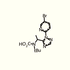 CC(c1ncnn1-c1ccc(Br)cn1)N(C(=O)O)C(C)(C)C